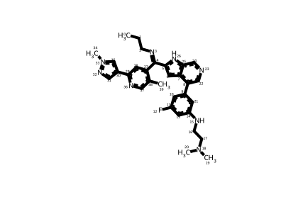 CCC/N=C(/c1cc2c(-c3cc(F)cc(NCCN(C)C)c3)cncc2[nH]1)c1cc(-c2cnn(C)c2)ncc1C